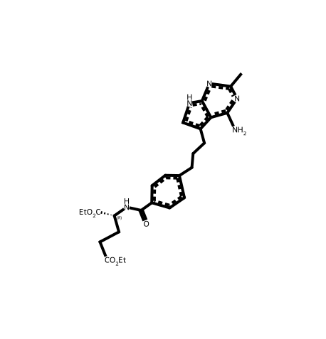 CCOC(=O)CC[C@@H](NC(=O)c1ccc(CCCc2c[nH]c3nc(C)nc(N)c23)cc1)C(=O)OCC